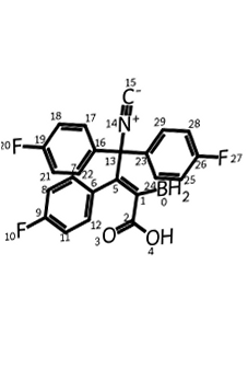 BC(C(=O)O)=C(c1ccc(F)cc1)C([N+]#[C-])(c1ccc(F)cc1)c1ccc(F)cc1